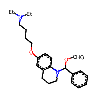 CCN(CC)CCCCOc1ccc2c(c1)CCCN2C(OC=O)c1ccccc1